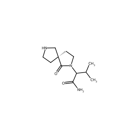 CC(C)C(C(N)=O)N1CC[C@@]2(CCNC2)C1=O